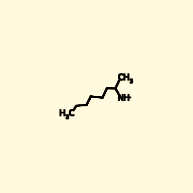 CCCCCCC(C)[NH]